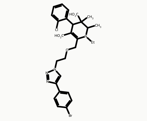 CCN1C(COCCn2cc(-c3ccc(Br)cc3)nn2)=C(C(=O)O)C(c2ccccc2Cl)C(C)(C(=O)O)C1C